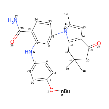 CCCCOc1ccc(Nc2cc(-n3c(C)cc4c3CC(C)(C)CC4=O)ccc2C(N)=O)cc1